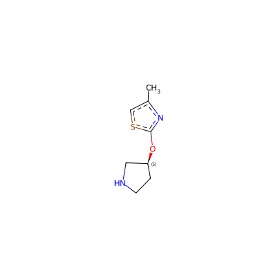 Cc1csc(O[C@H]2CCNC2)n1